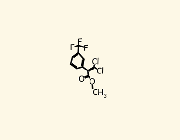 CCOC(=O)C(=C(Cl)Cl)c1cccc(C(F)(F)F)c1